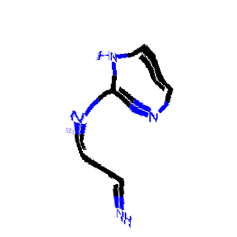 N=C/C=N\c1ncc[nH]1